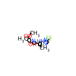 CCOC(=O)C1(C)CCC(O)(c2ccc(-c3cc(C)cc(Nc4nccc(C(F)(F)F)n4)c3)cn2)CC1